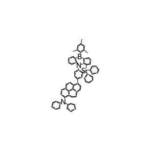 Cc1cc(C)c(B2c3ccccc3N3c4ccc(-c5ccc6ccc7c(N(c8ccccc8)c8ccccc8)ccc8ccc5c6c87)cc4[Si](c4ccccc4)(c4ccccc4)c4cccc2c43)c(C)c1